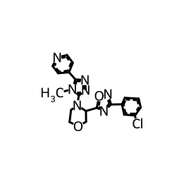 Cn1c(-c2ccncc2)nnc1N1CCOCC1c1nc(-c2cccc(Cl)c2)no1